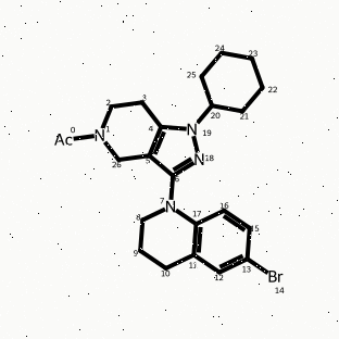 CC(=O)N1CCc2c(c(N3CCCc4cc(Br)ccc43)nn2C2CCCCC2)C1